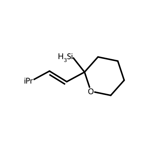 CC(C)C=CC1([SiH3])CCCCO1